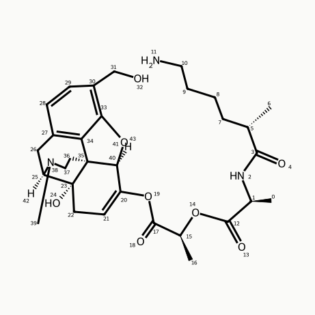 C[C@H](NC(=O)[C@@H](C)CCCCN)C(=O)O[C@@H](C)C(=O)OC1=CC[C@@]2(O)[C@H]3Cc4ccc(CO)c5c4[C@@]2(CCN3C)[C@H]1O5